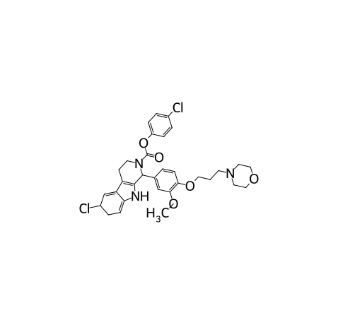 COc1cc(C2c3[nH]c4c(c3CCN2C(=O)Oc2ccc(Cl)cc2)=CC(Cl)CC=4)ccc1OCCCN1CCOCC1